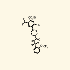 CCOC(=O)c1cc(C#N)c(N2CCC(C(=O)NS(=O)(=O)c3ccccc3OC(F)(F)F)CC2)nc1C(F)F